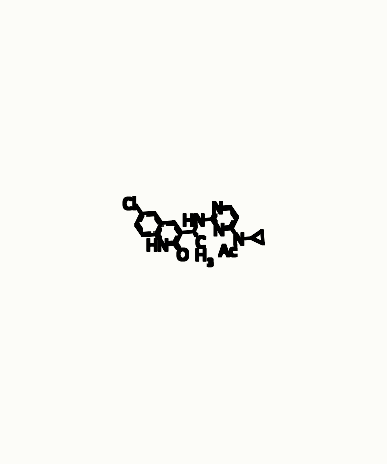 CC(=O)N(c1ccnc(N[C@@H](C)c2cc3cc(Cl)ccc3[nH]c2=O)n1)C1CC1